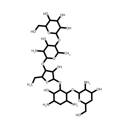 CCC1OC(OC2C(O)C(N)CC(N)C2OC2OC(CO)CC(O)C2N)C(O)C1OC1OC(C)C(OC2OC(CO)C(O)C(O)C2O)C(O)C1N